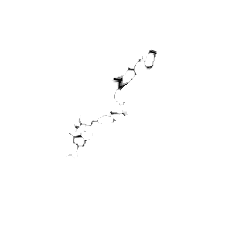 COc1cc(C)c(S(=O)(=O)N(C)CCOCC(=O)N(C)Cc2ccc(CN3CCCC3)cc2C)c(C)c1